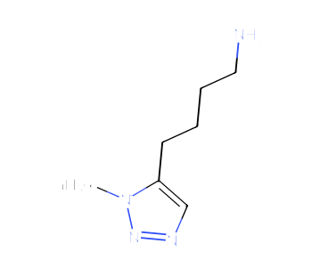 CCCCCCn1nncc1CCCCN